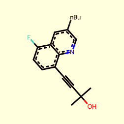 CCCCc1cnc2c(C#CC(C)(C)O)ccc(F)c2c1